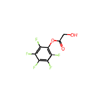 O=C(CO)Oc1c(F)c(F)c(F)c(F)c1F